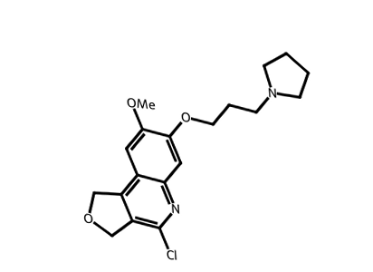 COc1cc2c3c(c(Cl)nc2cc1OCCCN1CCCC1)COC3